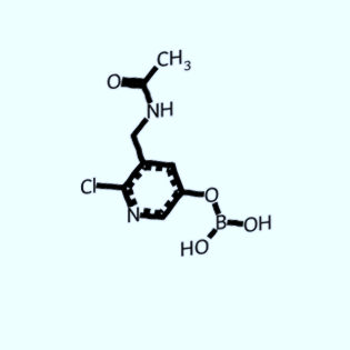 CC(=O)NCc1cc(OB(O)O)cnc1Cl